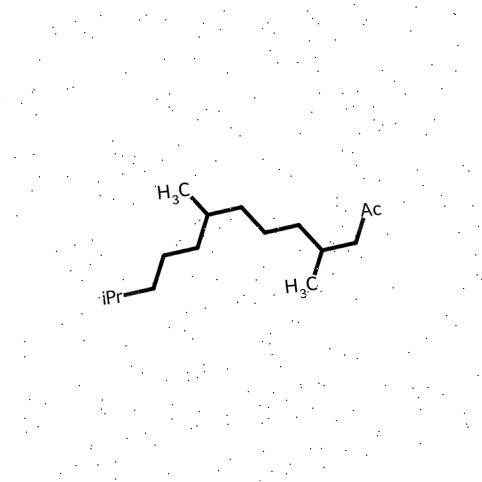 CC(=O)CC(C)CCCC(C)CCCC(C)C